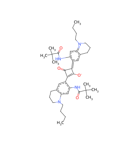 CCCCN1CCCc2cc(C3=C([O-])/C(=c4\cc5c(cc4NC(=O)C(C)(C)C)=[N+](CCCC)CCC5)C3=O)c(NC(=O)C(C)(C)C)cc21